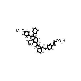 COc1ccc(-c2c(C3CCCCC3)c3ccc(C(=O)NC4(C(=O)Nc5ccc(C=CC(=O)O)cc5)CCCC4)c4c3n2CCO4)cc1